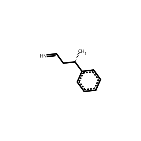 C[C@@H](CC=N)c1cc[c]cc1